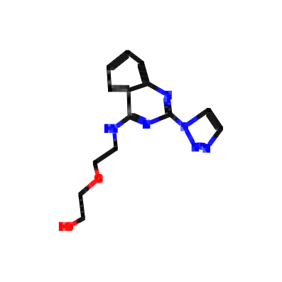 OCCOCCNc1nc(-n2ccnn2)nc2ccccc12